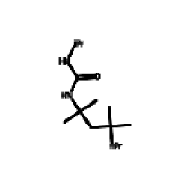 CCCC(C)(C)CC(C)(C)NC(=O)NC(C)C